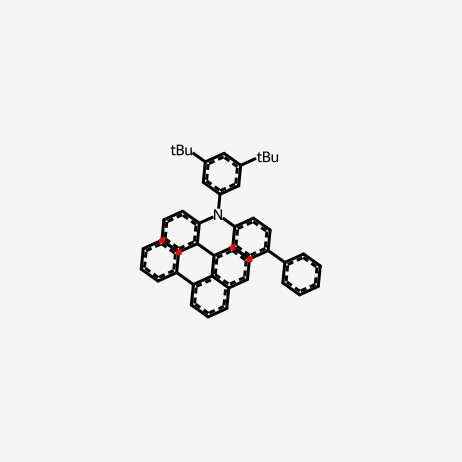 CC(C)(C)c1cc(N(c2ccc(-c3ccccc3)cc2)c2ccccc2-c2cccc3cccc(-c4ccccc4)c23)cc(C(C)(C)C)c1